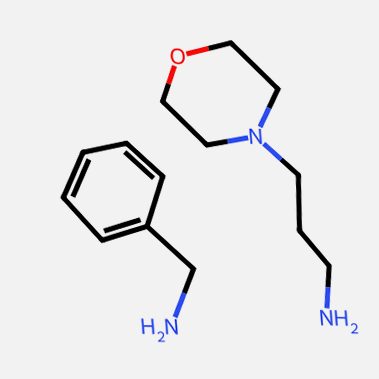 NCCCN1CCOCC1.NCc1ccccc1